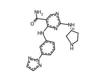 NC(=O)c1cnc(N[C@@H]2CCNC2)nc1Nc1cccc(-n2nccn2)c1